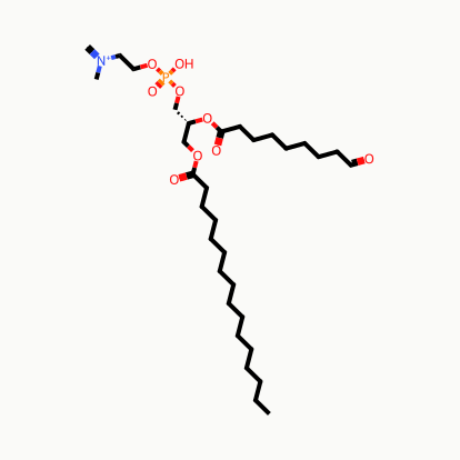 C=[N+](C)CCOP(=O)(O)OC[C@@H](COC(=O)CCCCCCCCCCCCCCC)OC(=O)CCCCCCCC=O